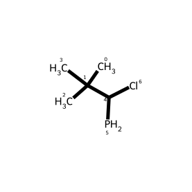 CC(C)(C)C(P)Cl